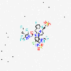 CC(C)(C#Cc1ccc(-c2ccc(Cl)c3c(NS(C)(=O)=O)nn(CC(F)(F)F)c23)c(C(Cc2cc(F)cc(F)c2)NC(=O)Cn2nc(C(F)(F)F)c(C3CC3CF)c2CF)n1)S(C)(=O)=O